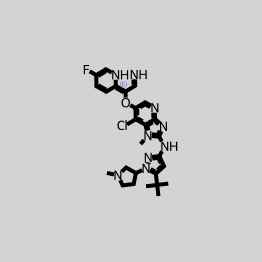 CN1CCC(n2nc(Nc3nc4ncc(O/C(C=N)=C5\C=CC(F)=CN5)c(Cl)c4n3C)cc2C(C)(C)C)C1